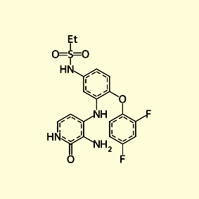 CCS(=O)(=O)Nc1ccc(Oc2ccc(F)cc2F)c(Nc2cc[nH]c(=O)c2N)c1